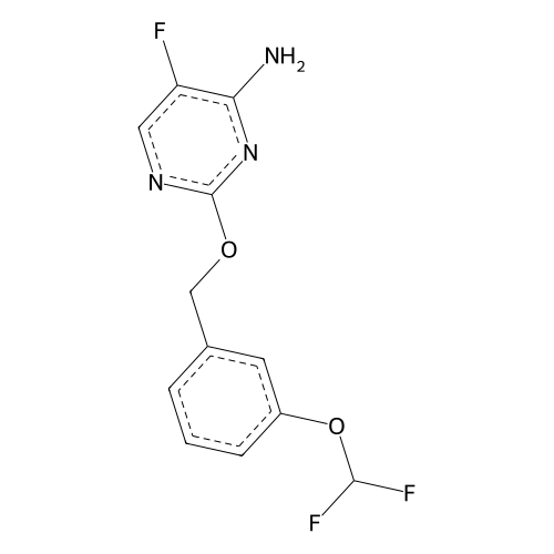 Nc1nc(OCc2cccc(OC(F)F)c2)ncc1F